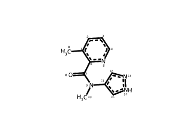 Cc1cccnc1C(=O)N(C)c1cn[nH]c1